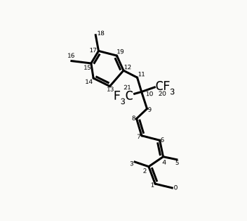 C\C=C(C)/C(C)=C\C=C/CC(Cc1ccc(C)c(C)c1)(C(F)(F)F)C(F)(F)F